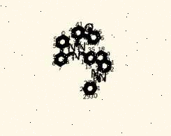 c1ccc(-c2ccccc2-c2nc(-c3ccc4c(ccc5ccc6nn(-c7ccccc7)nc6c54)c3)nc(-c3cccc4oc5ccccc5c34)n2)cc1